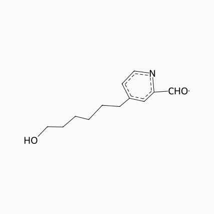 O=[C]c1cc(CCCCCCO)ccn1